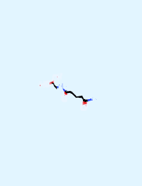 NC(=O)CCCC(=O)NCC(O)O